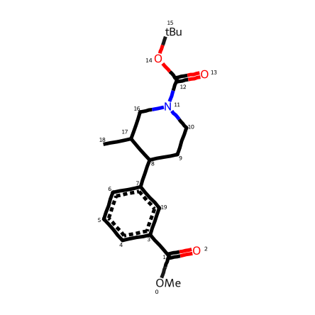 COC(=O)c1cccc(C2CCN(C(=O)OC(C)(C)C)CC2C)c1